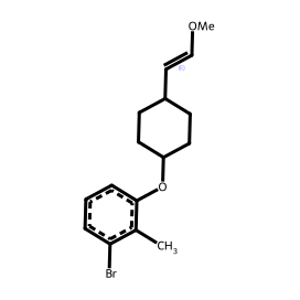 CO/C=C/C1CCC(Oc2cccc(Br)c2C)CC1